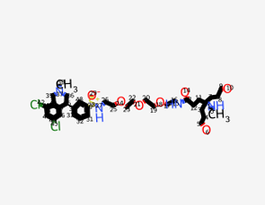 CNC(CCC=O)(CCC=O)CCC(=O)NCCOCCOCCOCCN[S+]([O-])c1cccc([C@@H]2CN(C)Cc3c(Cl)cc(Cl)cc32)c1